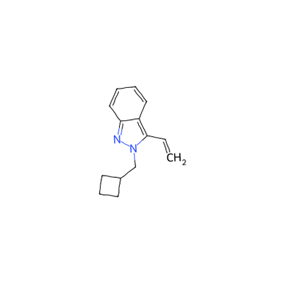 C=Cc1c2ccccc2nn1CC1CCC1